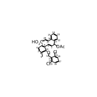 CC(=O)OC(C=Cc1cccc(C)c1OCc1c(Cl)cccc1Cl)c1ccccc1C=CC(=O)O